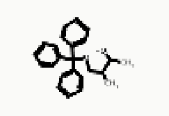 CC(O)C(C)COC(c1ccccc1)(c1ccccc1)c1ccccc1